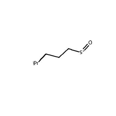 CC(C)CCC[S+]=O